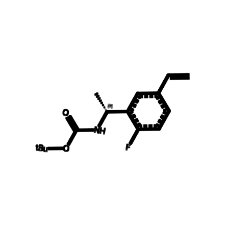 C=Cc1ccc(F)c([C@@H](C)NC(=O)OC(C)(C)C)c1